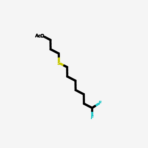 CC(=O)OCCCSCCCCCCC(F)F